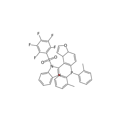 Cc1ccccc1P(C1=C(c2nc3ccccc3n2S(=O)(=O)c2c(F)c(F)c(F)c(F)c2F)C2C=COC2C=C1)c1ccccc1C